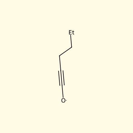 [CH2]CCCC#C[O]